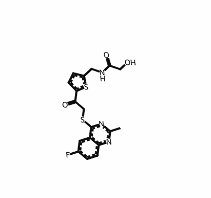 Cc1nc(SCC(=O)c2ccc(CNC(=O)CO)s2)c2cc(F)ccc2n1